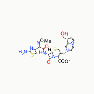 CO/N=C(\C(=O)N[C@@H]1C(=O)N2C(C(=O)[O-])=C(Cn3cc[n+]4ccc(CO)c-4c3)CS[C@H]12)c1csc(N)n1